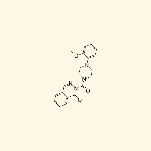 COc1ccccc1N1CCN(C(=O)n2ncc3ccccc3c2=O)CC1